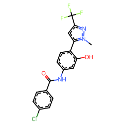 Cn1nc(C(F)(F)F)cc1-c1ccc(NC(=O)c2ccc(Cl)cc2)cc1O